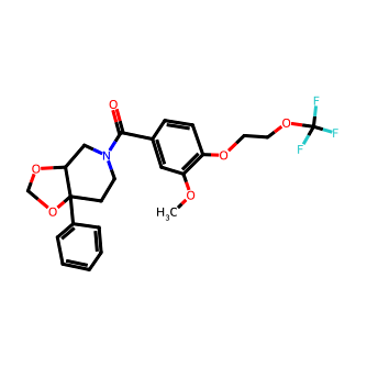 COc1cc(C(=O)N2CCC3(c4ccccc4)OCOC3C2)ccc1OCCOC(F)(F)F